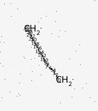 [CH2]CCCCC#CCCCCCCCCCCCCCCCCCCC[CH2]